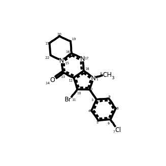 Cn1c(-c2ccc(Cl)cc2)c(Br)c2c(=O)n3c(nc21)CCCC3